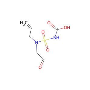 C=CCN(CC=O)S(=O)(=O)NC(=O)O